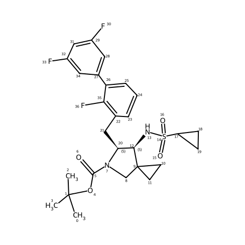 CC(C)(C)OC(=O)N1CC2(CC2)[C@H](NS(=O)(=O)C2CC2)[C@@H]1Cc1cccc(-c2cc(F)cc(F)c2)c1F